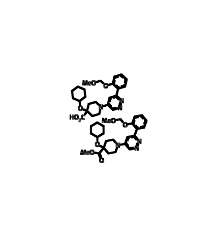 COCOc1ccccc1-c1cc(N2CCC(OC3CCCCC3)(C(=O)O)CC2)cnn1.COCOc1ccccc1-c1cc(N2CCC(OC3CCCCC3)(C(=O)OC)CC2)cnn1